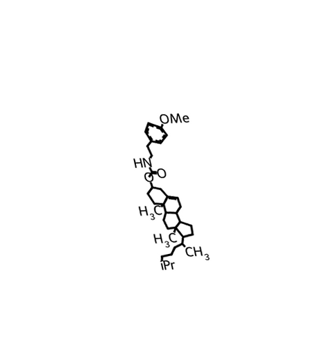 COc1ccc(CCNC(=O)OC2CCC3(C)C(=CCC4C3CCC3(C)C(C(C)CCCC(C)C)CCC43)C2)cc1